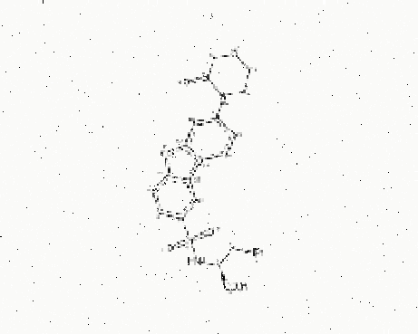 CC(C)C[C@H](NS(=O)(=O)c1ccc2oc3cc(N4CCOCC4=O)ccc3c2c1)C(=O)O